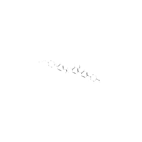 CCCC1CCC(c2ccc(C(=O)Oc3ccc(-c4ccc(C5CCC(CC)CC5)cc4)c(F)c3F)cc2)CC1